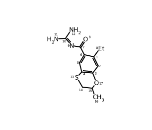 CCc1cc2c(cc1C(=O)N=C(N)N)SCC(C)O2